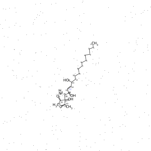 CCCCCCCCCCCCC(O)/C=C/[C@@H](O)[C@@H](N)C(O)(C(C)=O)C(C)=O